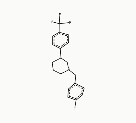 FC(F)(F)c1ccc(C2CCCN(Cc3ccc(Cl)cc3)C2)cc1